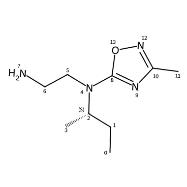 CC[C@H](C)N(CCN)c1nc(C)no1